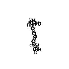 NC(=O)c1ncc(N2CCCCC2)nc1Nc1ccc(N2CCC3(CC2)CCN(c2ccc4c(c2)C(=O)N(C2CCC(=O)NC2=O)C4=O)C3)cc1